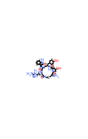 N=C(N)NCCC[C@@H]1NC(=O)[C@H](Cc2c[nH]c3ccccc23)NC(=O)[C@@H](CC2CCC(O)CC2)NC(=O)[C@@H]2C[C@@H](O)CN2C(=O)[C@@H](N)CCCNC1=O